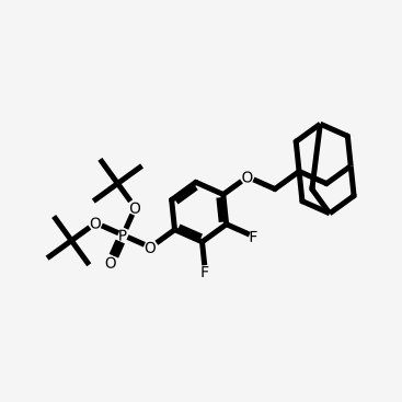 CC(C)(C)OP(=O)(Oc1ccc(OCC23CC4CC(CC(C4)C2)C3)c(F)c1F)OC(C)(C)C